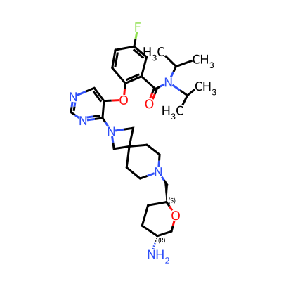 CC(C)N(C(=O)c1cc(F)ccc1Oc1cncnc1N1CC2(CCN(C[C@@H]3CC[C@@H](N)CO3)CC2)C1)C(C)C